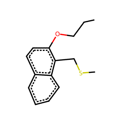 CCCOc1ccc2ccccc2c1CSC